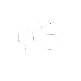 CC(N)(C1=CCOCC1)c1cccc(Br)c1